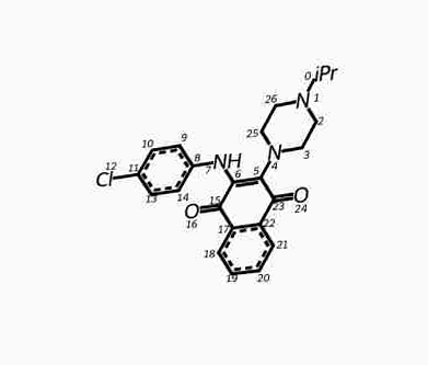 CC(C)N1CCN(C2=C(Nc3ccc(Cl)cc3)C(=O)c3ccccc3C2=O)CC1